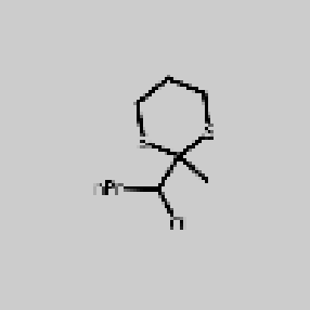 CCCC(O)C1(C)SCCCS1